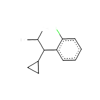 CC(C)C(c1ccccc1Cl)C1CC1